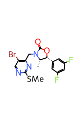 CSc1ncc(Br)c(CN2C(=O)O[C@H](c3cc(F)cc(F)c3)[C@@H]2C)n1